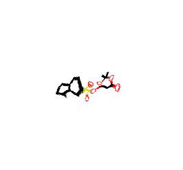 CC1(C)OC(=O)C=C(OS(=O)(=O)C2=CCc3ccccc3C2)O1